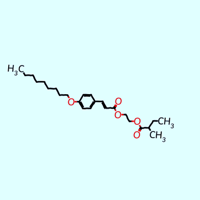 CCCCCCCCCOc1ccc(/C=C/C(=O)OCCOC(=O)C(C)CC)cc1